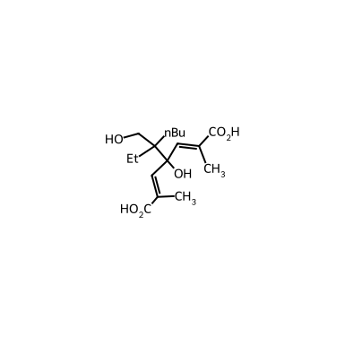 CCCCC(CC)(CO)C(O)(C=C(C)C(=O)O)C=C(C)C(=O)O